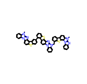 Cn1c2ccccc2n2c3ccc4sc5ccc(-c6cccc7sc8c(ccc9c8nc8n(Cc%10cccc%11c%10sc%10c%11ccc%11c%10n%10c%12ccccc%12nc%10n%11C)c%10ccccc%10n98)c67)cc5c4c3nc12